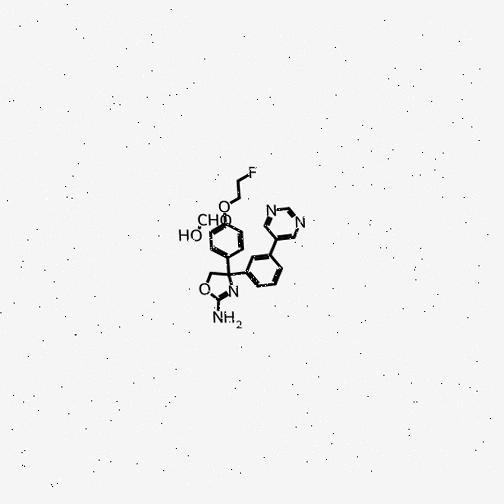 NC1=NC(c2ccc(OCCF)cc2)(c2cccc(-c3cncnc3)c2)CO1.O=CO